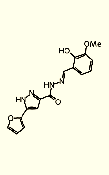 COc1cccc(/C=N/NC(=O)c2cc(-c3ccco3)[nH]n2)c1O